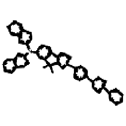 CC1(C)c2cc(-c3ccc(-c4ccc(-c5ccccc5)cc4)cc3)ccc2-c2ccc(N(c3ccc4ccccc4c3)c3ccc4ccccc4c3)cc21